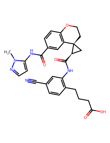 Cn1nccc1NC(=O)c1ccc2c(c1)[C@]1(CCO2)C[C@H]1C(=O)Nc1cc(C#N)ccc1CCCC(=O)O